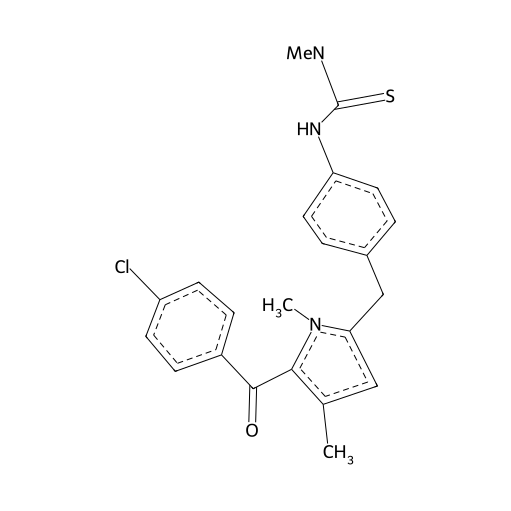 CNC(=S)Nc1ccc(Cc2cc(C)c(C(=O)c3ccc(Cl)cc3)n2C)cc1